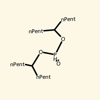 CCCCCC(CCCCC)O[PH](=O)OC(CCCCC)CCCCC